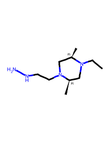 CCN1C[C@@H](C)N(CCNN)C[C@H]1C